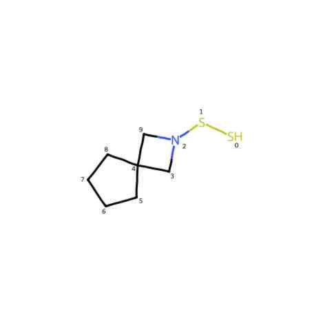 SSN1CC2(CCCC2)C1